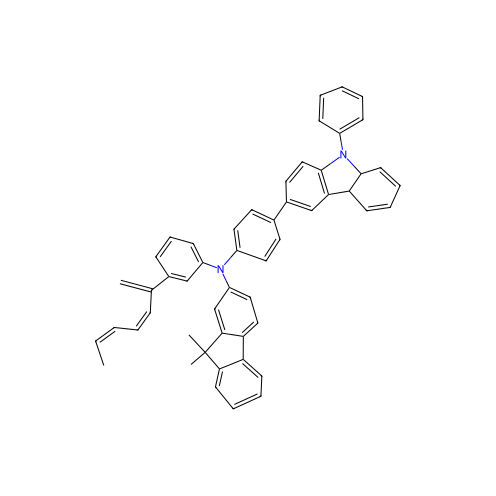 C=C(/C=C\C=C/C)c1cccc(N(c2ccc(-c3ccc4c(c3)C3C=CC=CC3N4c3ccccc3)cc2)c2ccc3c(c2)C(C)(C)c2ccccc2-3)c1